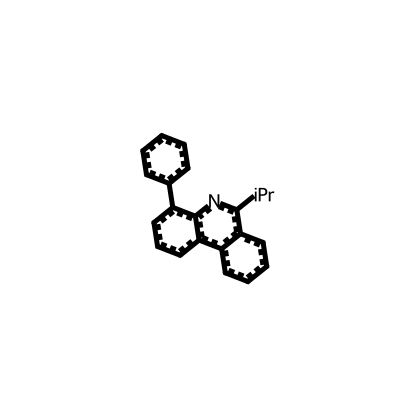 CC(C)c1nc2c(-c3ccccc3)cccc2c2ccccc12